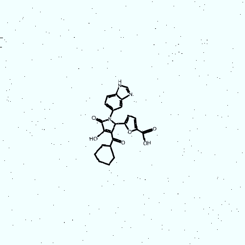 O=C(O)c1ccc(C2C(C(=O)C3CCCCC3)=C(O)C(=O)N2c2ccc3[nH]cnc3c2)o1